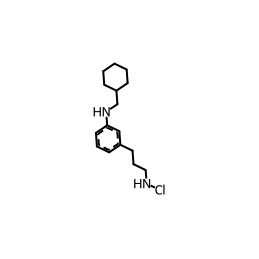 ClNCCCc1cccc(NCC2CCCCC2)c1